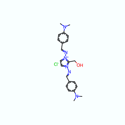 CN(C)c1ccc(/C=N/n2cc[n+](/N=C/c3ccc(N(C)C)cc3)c2CO)cc1.[Cl-]